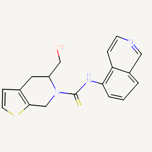 OCC1Cc2ccsc2CN1C(=S)Nc1cccc2cnccc12